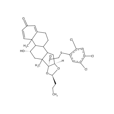 CCC[C@@H]1O[C@@H]2CC3C4CCC5=CC(=O)C=CC5(C)C4[C@@H](O)CC3(C)[C@]2(C(=O)CSc2cc(Cl)c(Cl)cc2Cl)O1